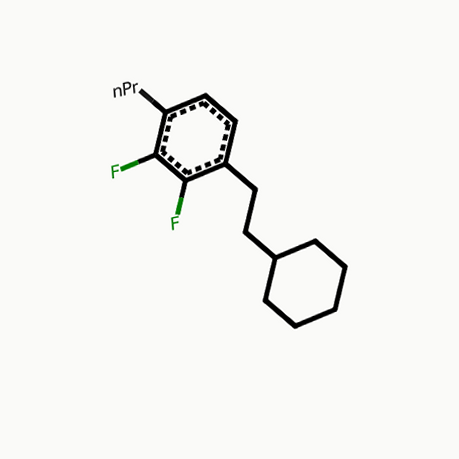 CCCc1ccc(CCC2CCCCC2)c(F)c1F